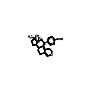 C[C@]1(O)CCC2C3CCC4=COCCC4=C3[C@@H](c3ccc(C=O)cc3)C[C@@]21C